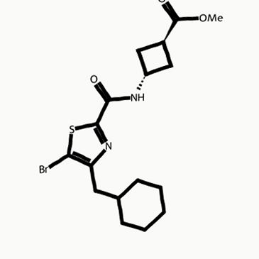 COC(=O)[C@H]1C[C@H](NC(=O)c2nc(CC3CCCCC3)c(Br)s2)C1